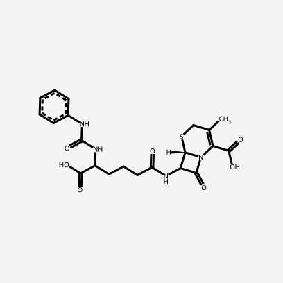 CC1=C(C(=O)O)N2C(=O)C(NC(=O)CCCC(NC(=O)Nc3ccccc3)C(=O)O)[C@@H]2SC1